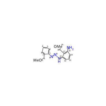 COCc1ccccc1/N=N/Nc1cccc(N)c1COC